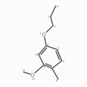 CCCOc1ccc(C)c(OC)c1